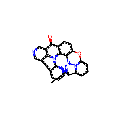 Cc1cc2n(n1)[N+]13c4c(ccc5c(=O)c6cncc7c8ccc[n+]1c8n(c45)c67)Oc1cccc-2[n+]13